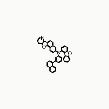 c1cc(-c2cccc3ccccc23)cc(N(c2ccc3c(ccc4c5ncccc5oc34)c2)c2cccc3oc4ccccc4c23)c1